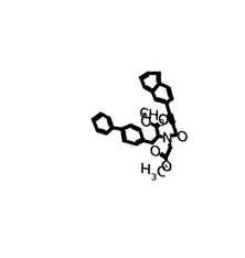 COC(=O)CN(C(=O)C#Cc1ccc2ccccc2c1)C(Cc1ccc(-c2ccccc2)cc1)C(=O)OC